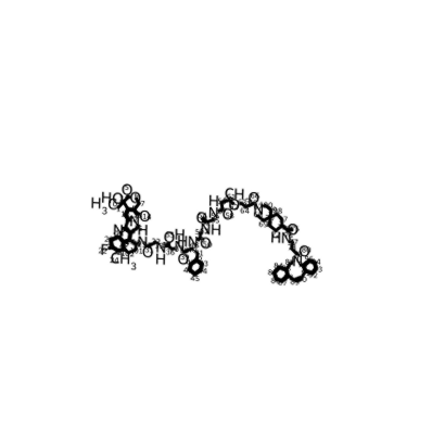 CC[C@@]1(O)C(=O)OCc2c1cc1n(c2=O)Cc2c-1nc1cc(F)c(C)c3c1c2[C@@H](NC(=O)CNC(=O)CNC(=O)[C@H](Cc1ccccc1)NC(=O)CNC(=O)CNC(=O)CC(C)OCCC(=O)N1CCC2(CCC(C(=O)NCCC(=O)N4Cc5ccccc5C#Cc5ccccc54)CC2)CC1)CC3